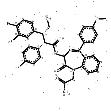 COc1ccc(C2=NC(NC(=O)[C@H](c3ccc(F)cc3)[C@@H](CO)c3ccc(F)c(F)c3)C(=O)N(CC(N)=O)c3ccccc32)cc1